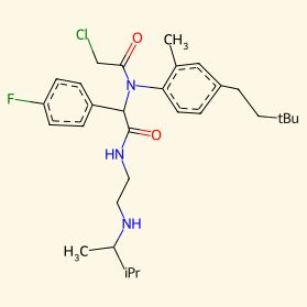 Cc1cc(CCC(C)(C)C)ccc1N(C(=O)CCl)C(C(=O)NCCNC(C)C(C)C)c1ccc(F)cc1